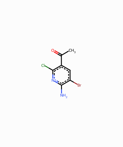 CC(=O)c1cc(Br)c(N)nc1Cl